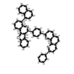 c1ccc(-c2ccc3ccc4ccc(-c5ccc(-c6nc7c(-c8cccc9ccccc89)cccc7c7oc8ccccc8c67)cc5)nc4c3n2)cc1